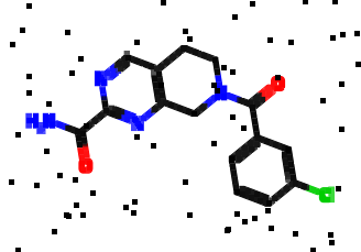 NC(=O)c1n[c]c2c(n1)CN(C(=O)c1cccc(Cl)c1)CC2